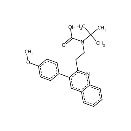 COc1ccc(-c2cc3ccccc3nc2CCN(C(=O)O)C(C)(C)C)cc1